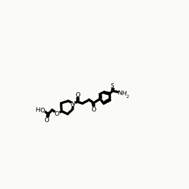 NC(=S)c1ccc(C(=O)CCC(=O)N2CCC(OCC(=O)O)CC2)cc1